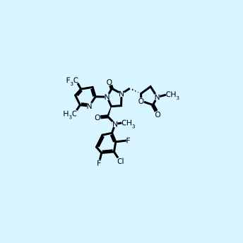 Cc1cc(C(F)(F)F)cc(N2C(=O)N(C[C@@H]3CN(C)C(=O)O3)C[C@H]2C(=O)N(C)c2ccc(F)c(Cl)c2F)n1